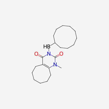 Cn1c2c(c(=O)n(BC3CCCCCCCCC3)c1=O)CCCCCC2